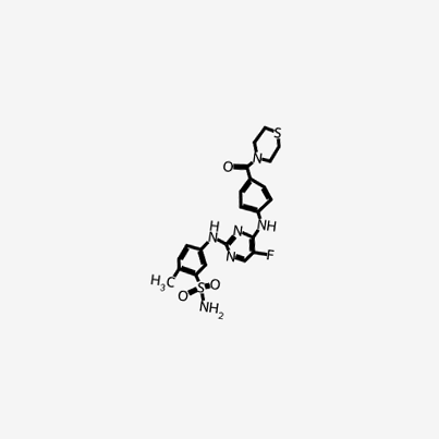 Cc1ccc(Nc2ncc(F)c(Nc3ccc(C(=O)N4CCSCC4)cc3)n2)cc1S(N)(=O)=O